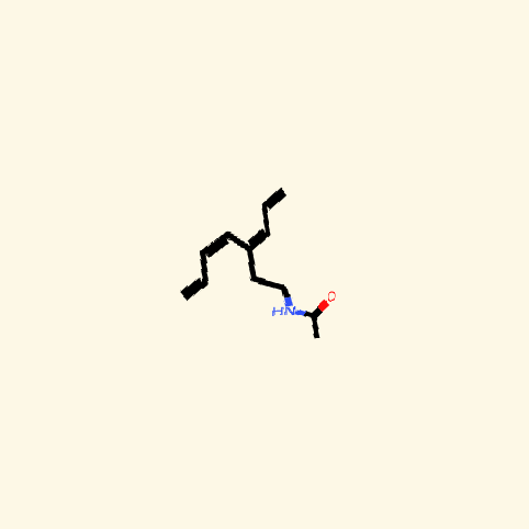 C=C/C=C\C(=C/C=C)CCNC(C)=O